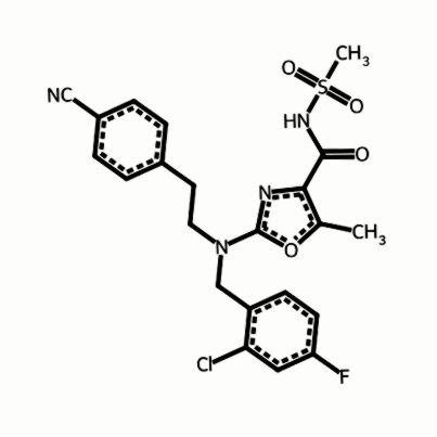 Cc1oc(N(CCc2ccc(C#N)cc2)Cc2ccc(F)cc2Cl)nc1C(=O)NS(C)(=O)=O